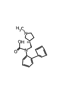 CN1CC[C@@H](CN(C(=O)O)c2ccccc2-c2ccccc2)C1